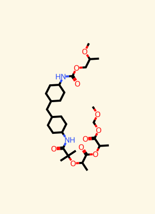 COCOC(=O)C(C)OC(=O)C(C)OC(C)(C)C(=O)NC1CCC(CC2CCC(NC(=O)OCC(C)OC)CC2)CC1